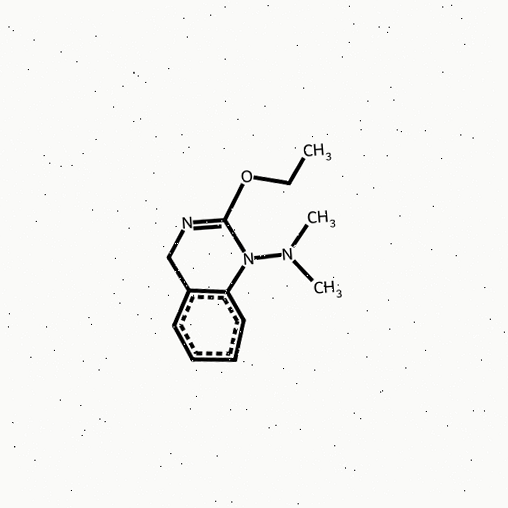 CCOC1=NCc2ccccc2N1N(C)C